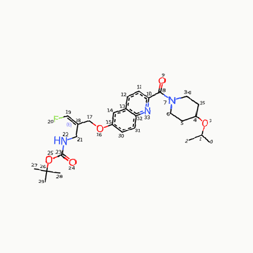 CC(C)OC1CCN(C(=O)c2ccc3cc(OC/C(=C/F)CNC(=O)OC(C)(C)C)ccc3n2)CC1